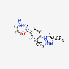 FC(F)(F)c1cn(-c2ccc(C3=NNC=CO3)cc2C(F)(F)F)nn1